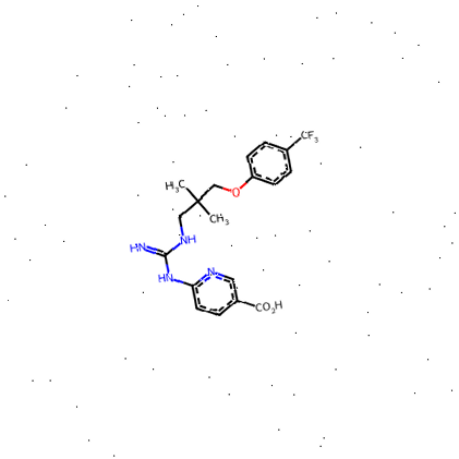 CC(C)(CNC(=N)Nc1ccc(C(=O)O)cn1)COc1ccc(C(F)(F)F)cc1